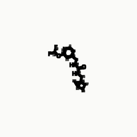 O=C(NCc1ccnc(OC(F)F)c1)NCC12CCC1C2